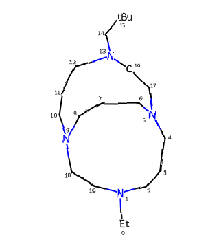 CCN1CCCN2CCCN(CCCN(CC(C)(C)C)CC2)CC1